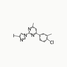 Cc1cc(-c2ccc(Cl)c(C)c2)nc(-n2cnc(I)c2)n1